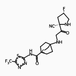 N#C[C@]1(C(=O)CNC23CCC(C(=O)Nc4nnc(C(F)(F)F)s4)(CC2)CC3)C[C@H](F)CN1